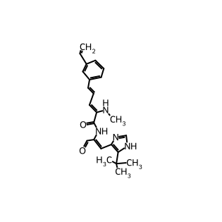 C=Cc1cccc(/C=C/C=C(\NC)C(=O)N/C(C=O)=C\c2nc[nH]c2C(C)(C)C)c1